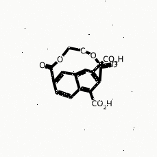 O=C1OCCOC(=O)c2c(C(=O)O)cc3cc1ccc3c2C(=O)O